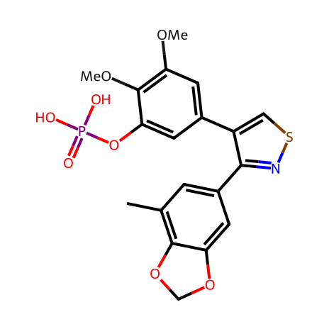 COc1cc(-c2csnc2-c2cc(C)c3c(c2)OCO3)cc(OP(=O)(O)O)c1OC